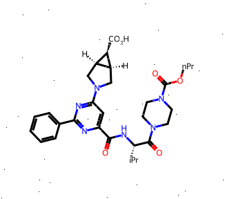 CCCOC(=O)N1CCN(C(=O)[C@@H](NC(=O)c2cc(N3C[C@@H]4[C@H](C3)[C@@H]4C(=O)O)nc(-c3ccccc3)n2)C(C)C)CC1